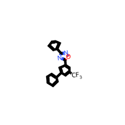 FC(F)(F)c1cc(-c2ccccc2)cc(-c2nc(-c3ccccc3)no2)c1